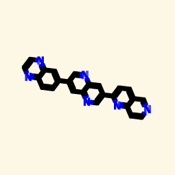 c1cc2nc(-c3cnc4cc(-c5ccc6nccnc6c5)cnc4c3)ccc2cn1